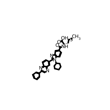 CSCC[C@H](NC(=O)c1ccc2c(c1)nc(-c1ccc3nc(-c4ccccc4)cnc3c1)n2C1CCCCC1)C(=O)O